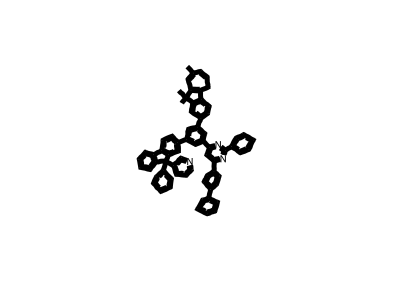 CC1=CC2=C(CC=C1)c1ccc(-c3cc(-c4ccc5c(c4)C(c4ccccc4)(c4cccnc4)c4ccccc4-5)cc(-c4cc(-c5ccc(-c6ccccc6)cc5)nc(-c5ccccc5)n4)c3)cc1C2(C)C